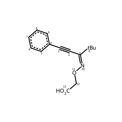 CC(C)(C)/C(C#Cc1ccccc1)=N/OCC(=O)O